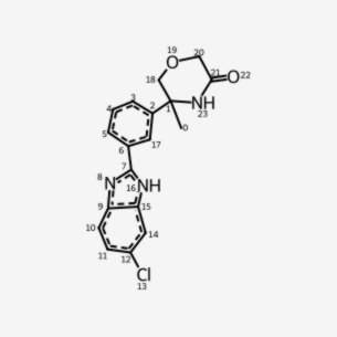 CC1(c2cccc(-c3nc4ccc(Cl)cc4[nH]3)c2)COCC(=O)N1